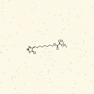 C=C(C)C(=O)OCCCCCCCC=C1N=NSC1=O